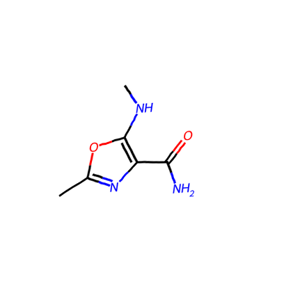 CNc1oc(C)nc1C(N)=O